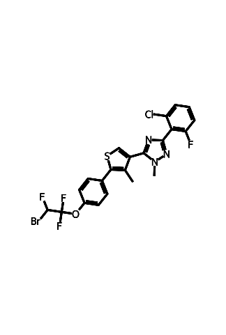 Cc1c(-c2nc(-c3c(F)cccc3Cl)nn2C)csc1-c1ccc(OC(F)(F)C(F)Br)cc1